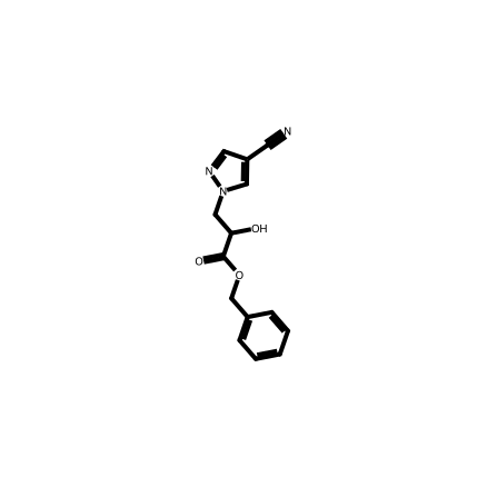 N#Cc1cnn(CC(O)C(=O)OCc2ccccc2)c1